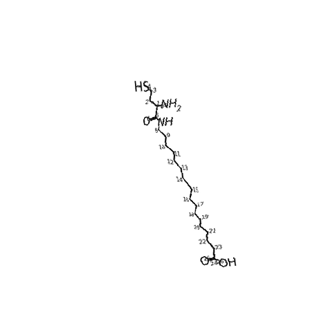 NC(CCS)C(=O)NCCCCCCCCCCCCCCCCC(=O)O